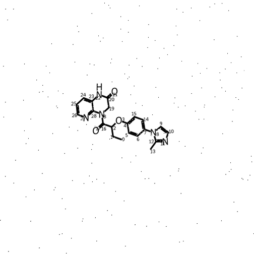 CCC(Oc1ccc(-n2ccnc2C)cc1)C(=O)N1CC(=O)Nc2cccnc21